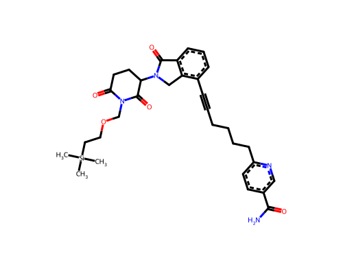 C[Si](C)(C)CCOCN1C(=O)CCC(N2Cc3c(C#CCCCCc4ccc(C(N)=O)cn4)cccc3C2=O)C1=O